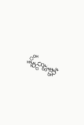 C[C@H](C(=O)N[C@H](CO)c1cccc(N(C)C)n1)N1Cc2ccc(-c3nc(N[C@@H]4CC[C@@H](O)C4)ncc3Cl)cc2C1=O